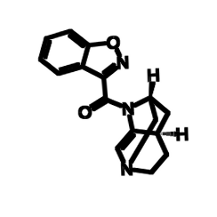 O=C(c1noc2ccccc12)N1C2=CN3CC[C@@H]2C[C@@H]1C3